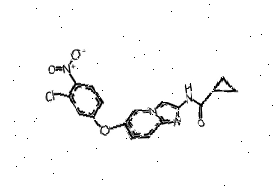 O=C(Nc1cn2cc(Oc3ccc([N+](=O)[O-])c(Cl)c3)ccc2n1)C1CC1